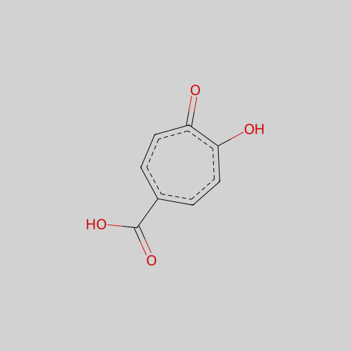 O=C(O)c1ccc(O)c(=O)cc1